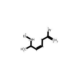 C=C(C/C=C\C(C)NCC)C(C)C